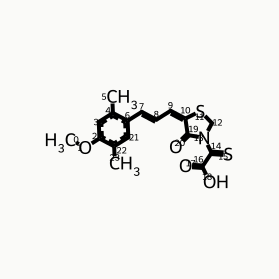 COc1cc(C)c(C=CC=C2SCN(C(=S)C(=O)O)C2=O)cc1C